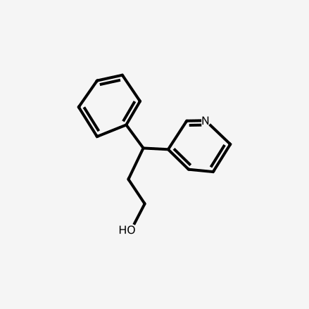 OCCC(c1ccccc1)c1cccnc1